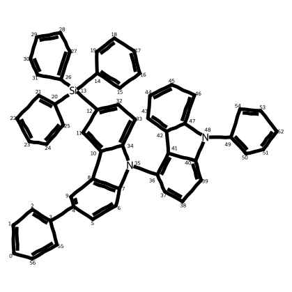 c1ccc(-c2ccc3c(c2)c2cc([Si](c4ccccc4)(c4ccccc4)c4ccccc4)ccc2n3-c2cccc3c2c2ccccc2n3-c2ccccc2)cc1